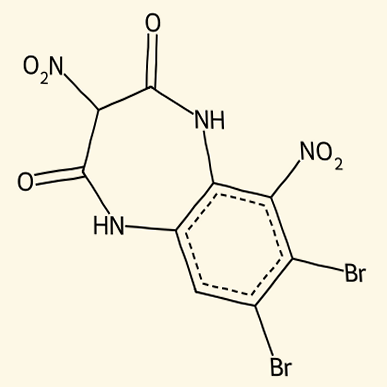 O=C1Nc2cc(Br)c(Br)c([N+](=O)[O-])c2NC(=O)C1[N+](=O)[O-]